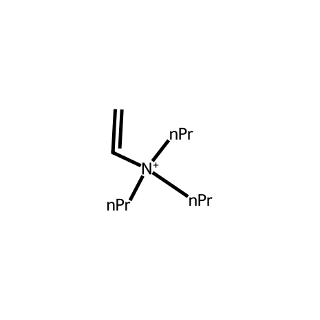 C=C[N+](CCC)(CCC)CCC